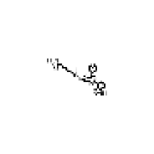 NC(=O)CCCCCCNCc1cc2nc(-c3cccc4[nH]ncc34)nc(N3CCOCC3)c2s1